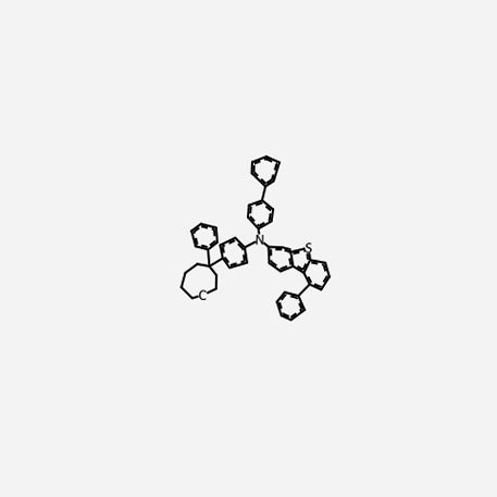 c1ccc(-c2ccc(N(c3ccc(C4(c5ccccc5)CCCCCCC4)cc3)c3ccc4c(c3)sc3cccc(-c5ccccc5)c34)cc2)cc1